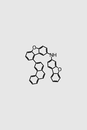 c1ccc2c(c1)ccc1ccc(-c3cccc4oc5ccc(Nc6ccc7c(c6)oc6ccccc67)cc5c34)cc12